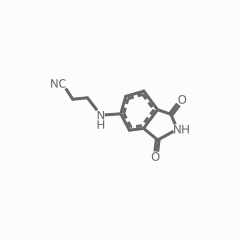 N#CCCNc1ccc2c(c1)C(=O)NC2=O